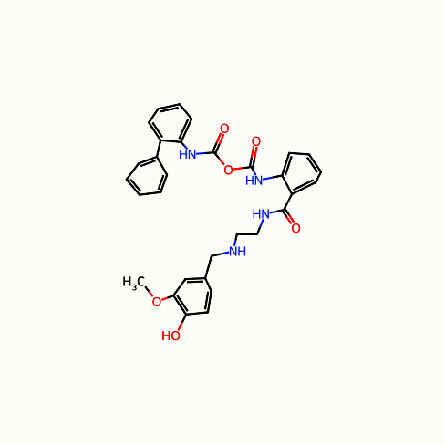 COc1cc(CNCCNC(=O)c2ccccc2NC(=O)OC(=O)Nc2ccccc2-c2ccccc2)ccc1O